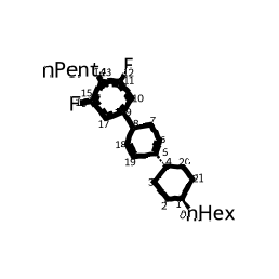 CCCCCC[C@H]1CC[C@H](C2=CCC(c3cc(F)c(CCCCC)c(F)c3)C=C2)CC1